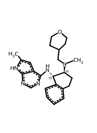 Cc1cc2c(N[C@H]3c4ccccc4CC[C@@H]3N(C)CC3CCOCC3)ncnc2[nH]1